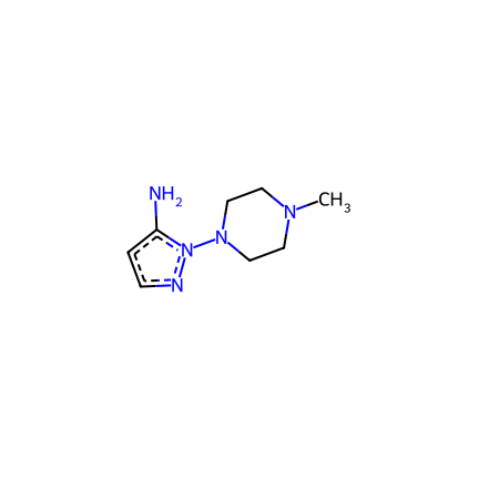 CN1CCN(n2nccc2N)CC1